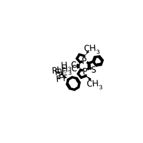 C1=C\CC/C=C\CC/1.CC[C@H]1CC[C@H](CC)P1c1sc2ccccc2c1P1[C@@H](CC)CC[C@@H]1CC.F[B-](F)(F)F.[Rh+]